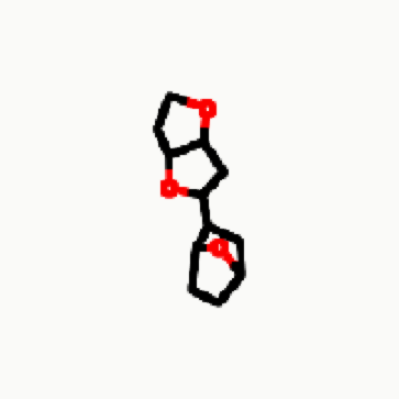 C1CC2OC(C3CC4CCC3O4)CC2O1